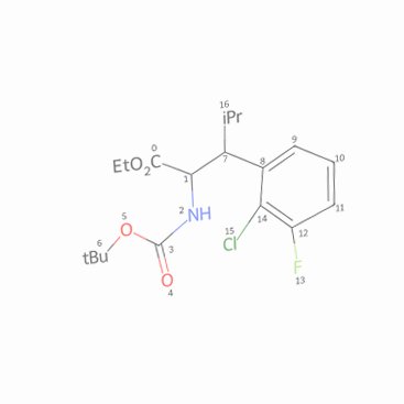 CCOC(=O)C(NC(=O)OC(C)(C)C)C(c1cccc(F)c1Cl)C(C)C